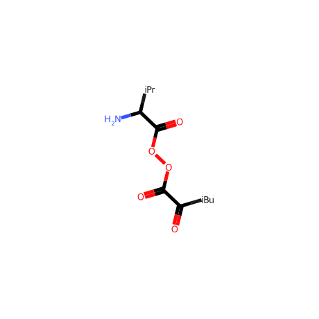 CCC(C)C(=O)C(=O)OOC(=O)C(N)C(C)C